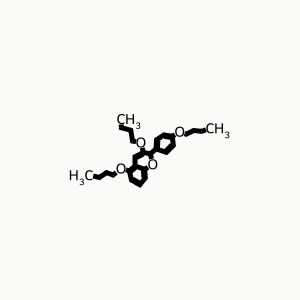 CCCCOC1=Cc2c(OCCCC)cccc2OC1c1ccc(OCCCC)cc1